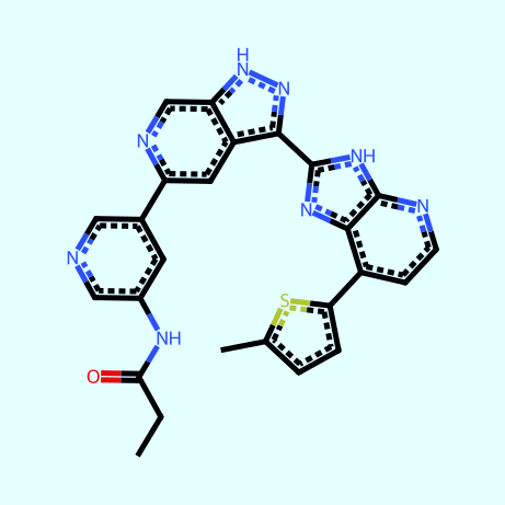 CCC(=O)Nc1cncc(-c2cc3c(-c4nc5c(-c6ccc(C)s6)ccnc5[nH]4)n[nH]c3cn2)c1